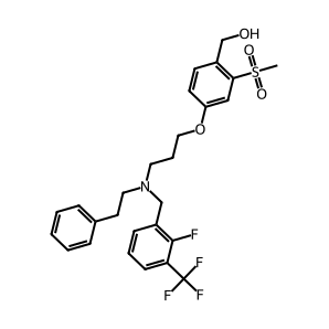 CS(=O)(=O)c1cc(OCCCN(CCc2ccccc2)Cc2cccc(C(F)(F)F)c2F)ccc1CO